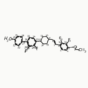 CCOc1ccc(/C=C/C2CCC(c3ccc(-c4ccc(C)cc4)c(F)c3F)CC2)c(F)c1F